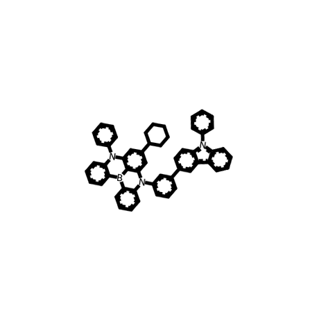 c1ccc(N2c3ccccc3B3c4ccccc4N(c4cccc(-c5ccc6c(c5)c5ccccc5n6-c5ccccc5)c4)c4cc(C5CCCCC5)cc2c43)cc1